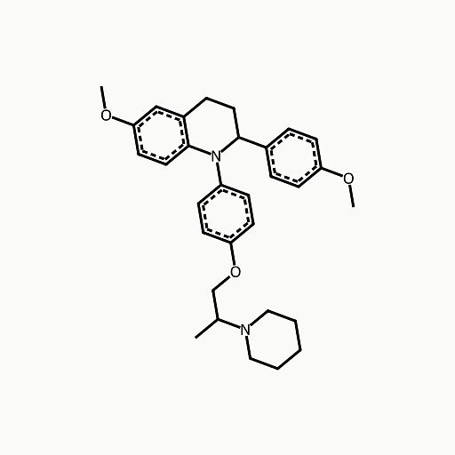 COc1ccc(C2CCc3cc(OC)ccc3N2c2ccc(OCC(C)N3CCCCC3)cc2)cc1